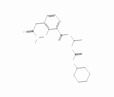 CC(OC(=O)OC1CCCCC1)OC(=O)c1cccc2c1OB(O)C(=N)C2